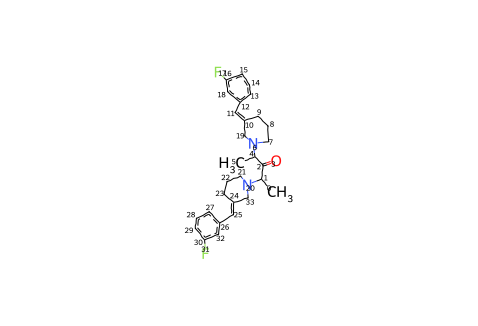 CC(C(=O)C(C)N1CCCC(=Cc2cccc(F)c2)C1)N1CCCC(=Cc2cccc(F)c2)C1